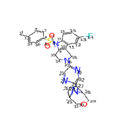 Cc1ccc(S(=O)(=O)n2c3c(c4cc(F)ccc42)CN(c2cnc(N4C5CCC4COC5)cn2)CC3)cc1